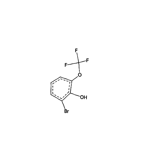 Oc1c(Br)cccc1OC(F)(F)F